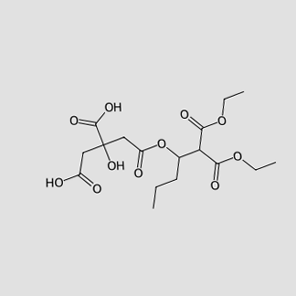 CCCC(OC(=O)CC(O)(CC(=O)O)C(=O)O)C(C(=O)OCC)C(=O)OCC